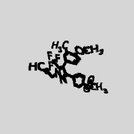 C#CCn1nc(-c2ccc(S(C)(=O)=O)cc2)c(-c2ccc(OC)c(C)c2)c1C(F)(F)F